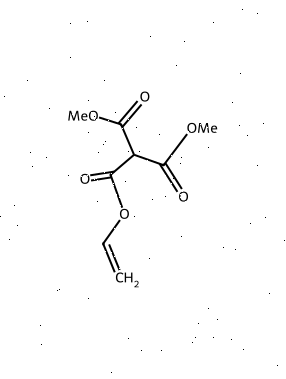 C=COC(=O)C(C(=O)OC)C(=O)OC